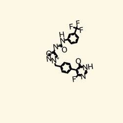 O=C([N-]c1c[n+](Cc2ccc(-c3c(F)nc[nH]c3=O)cc2)no1)Nc1cccc(C(F)(F)F)c1